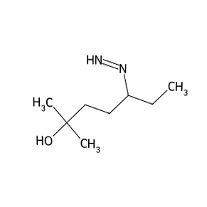 CCC(CCC(C)(C)O)N=N